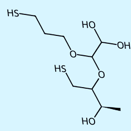 C[C@@H](O)C(CS)OC(OCCCS)C(O)O